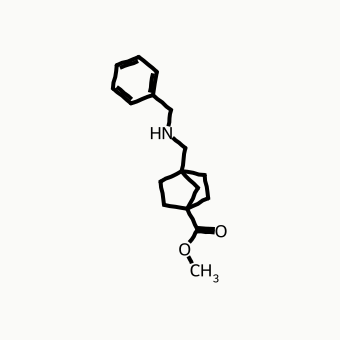 COC(=O)C12CCC(CNCc3ccccc3)(CC1)C2